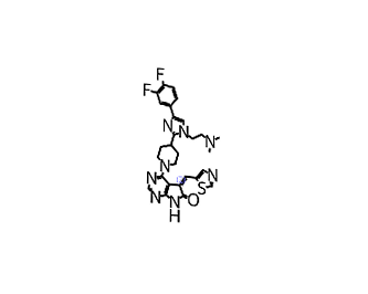 CN(C)CCn1cc(-c2ccc(F)c(F)c2)nc1C1CCN(c2ncnc3c2/C(=C/c2cncs2)C(=O)N3)CC1